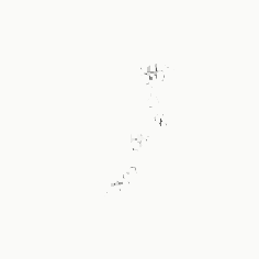 C[n+]1cc(-c2ccc(OC[C@H](ON)C(=O)OC(C)(C)C)cc2)cn1CCCNC(=O)OC(C)(C)CCC(C)(C)OC(=O)Nc1nc(C(=O)C(=O)O)cs1